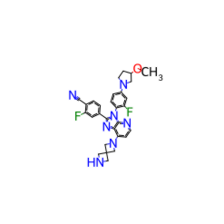 COC1CCN(c2ccc(-n3c(-c4ccc(C#N)c(F)c4)nc4c(N5CC6(CNC6)C5)ccnc43)c(F)c2)C1